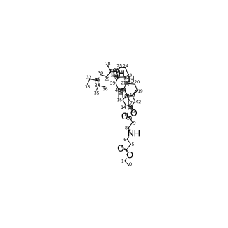 CCOC(=O)CCNCCC(=O)O[C@H]1CC[C@@]2(C)C(=CC[C@H]3[C@@H]4CCC[C@H]([C@H](C)CC[C@@H](CC)C(C)C)[C@@]4(C)CC[C@@H]32)C1